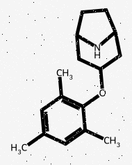 Cc1cc(C)c(OC2C[C]3CCC(C2)N3)c(C)c1